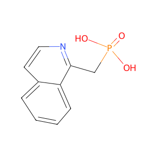 O=P(O)(O)Cc1nccc2ccccc12